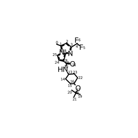 Cc1cc(C(F)F)nc2c(C(=O)NC3CCC(OC(C)(C)C)CC3)ccn12